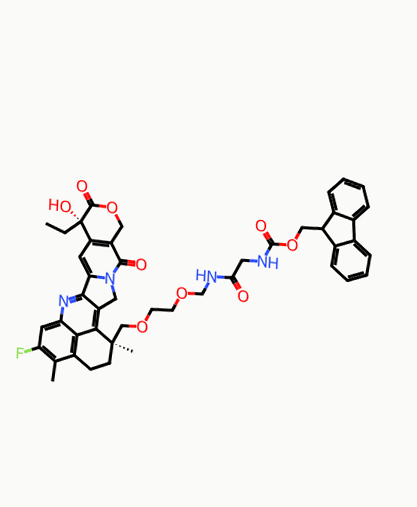 CC[C@@]1(O)C(=O)OCc2c1cc1n(c2=O)Cc2c-1nc1cc(F)c(C)c3c1c2[C@@](C)(COCCOCNC(=O)CNC(=O)OCC1c2ccccc2-c2ccccc21)CC3